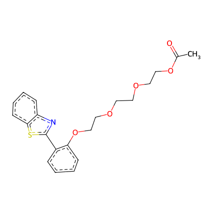 CC(=O)OCCOCCOCCOc1ccccc1-c1nc2ccccc2s1